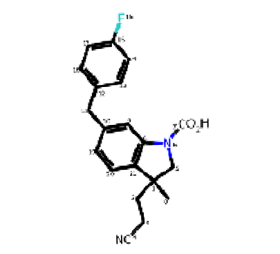 CC1(CCC#N)CN(C(=O)O)c2cc(Cc3ccc(F)cc3)ccc21